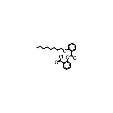 CCCCCCCCOc1ccccc1C(=O)Oc1ccccc1C(=O)Cl